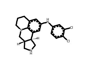 Clc1ccc(Nc2cc3c4c(c2)[C@H]2CNC[C@@H]2CN4CCC3)cc1Cl